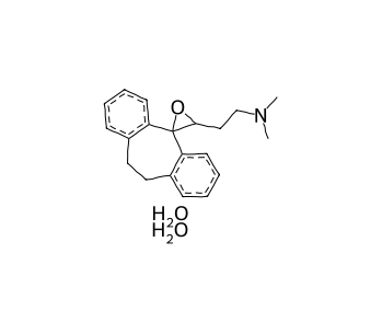 CN(C)CCC1OC12c1ccccc1CCc1ccccc12.O.O